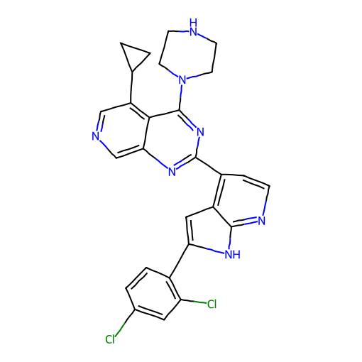 Clc1ccc(-c2cc3c(-c4nc(N5CCNCC5)c5c(C6CC6)cncc5n4)ccnc3[nH]2)c(Cl)c1